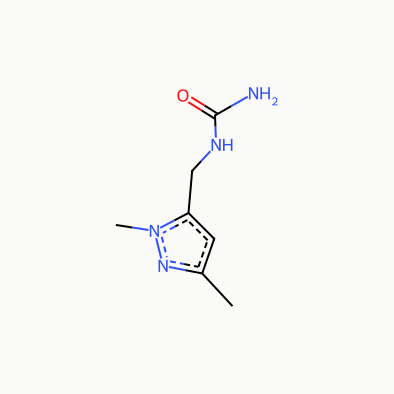 Cc1cc(CNC(N)=O)n(C)n1